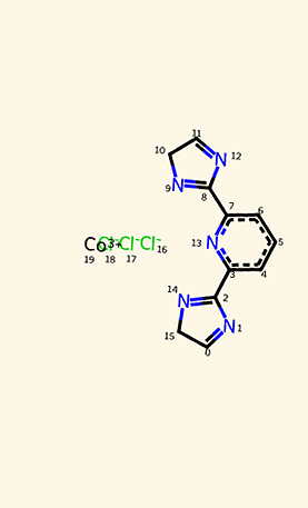 C1=NC(c2cccc(C3=NCC=N3)n2)=NC1.[Cl-].[Cl-].[Cl-].[Co+3]